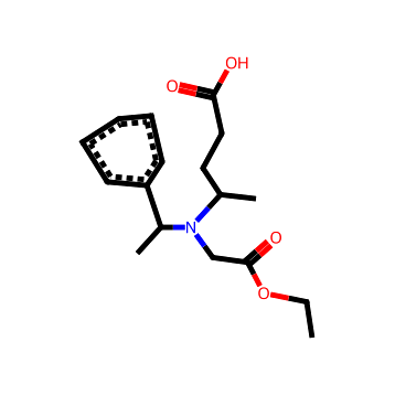 CCOC(=O)CN(C(C)CCC(=O)O)C(C)c1ccccc1